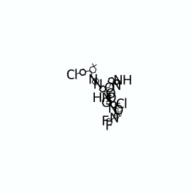 CC1(C)CCC(CN2CCN(c3ccc(C(=O)NS(=O)(=O)c4cnc(O[C@@H]5CCN(C(CF)CF)C5)c(Cl)c4)c(Oc4cccc5[nH]cnc45)c3)CC2)=C(c2ccc(Cl)cc2)C1